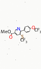 COC(=O)c1cnc(-c2ccc(OC(F)(F)F)cc2)c(SC(F)(F)F)c1